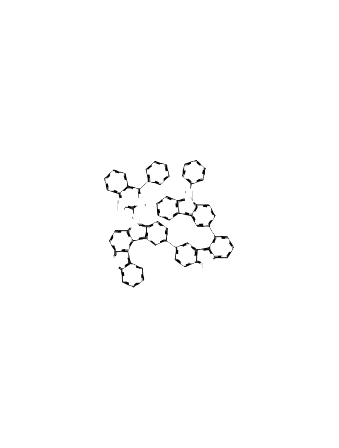 c1ccc(-c2nc(-n3c4ccc(-c5ccc6oc7cccc(-c8ccc9c(c8)c8ccccc8n9-c8ccccc8)c7c6c5)cc4c4c5c(ccc43)oc3ccccc35)nc3ccccc23)cc1